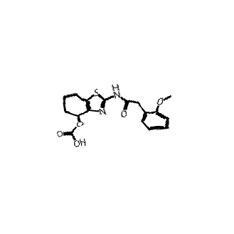 COc1ccccc1CC(=O)Nc1nc2c(s1)CCCC2OC(=O)O